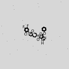 O=C(Oc1ccccc1)c1nc[nH]c1C(=O)N[C@H]1CC[C@@]2(CCN(c3cc(F)c(F)cc3Cl)C2=O)CC1